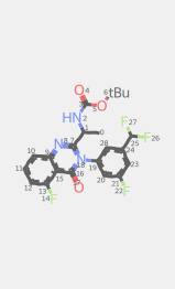 CC(NC(=O)OC(C)(C)C)c1nc2cccc(F)c2c(=O)n1-c1cc(F)cc(C(F)F)c1